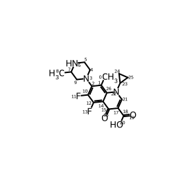 Cc1c(N2CCNC(C)C2)c(F)c(F)c2c(=O)c(C(=O)O)cn(C3CC3)c12